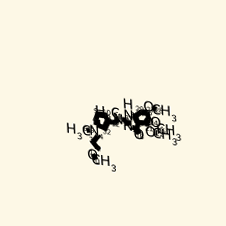 COCCCN(C)c1cccc(CN(C)c2nc(=O)c3c(OC)c(OC)c(OC)cc3[nH]2)c1